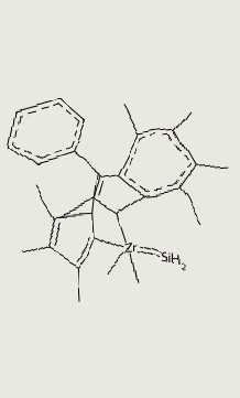 CC1=C(C)C(C)[C]([Zr]([CH3])([CH3])(=[SiH2])[CH]2C(C)=C(c3ccccc3)c3c(C)c(C)c(C)c(C)c32)=C1C